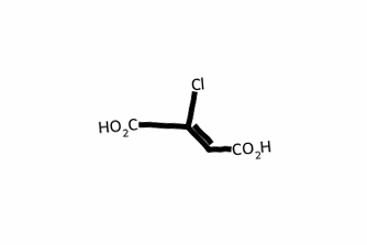 O=C(O)C=C(Cl)C(=O)O